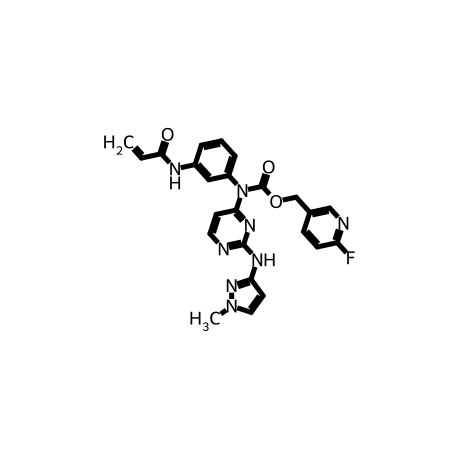 C=CC(=O)Nc1cccc(N(C(=O)OCc2ccc(F)nc2)c2ccnc(Nc3ccn(C)n3)n2)c1